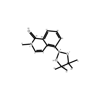 Cn1ccc2c(B3OC(C)(C)C(C)(C)O3)cccc2c1=O